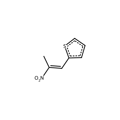 CC(=Cc1cccs1)[N+](=O)[O-]